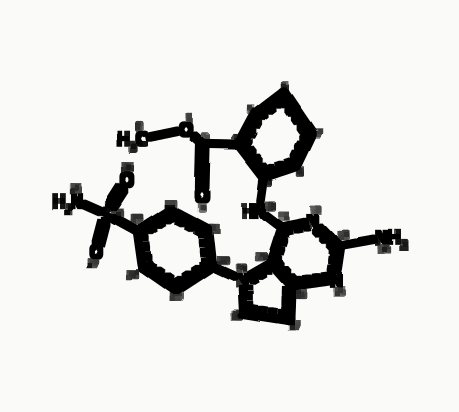 COC(=O)c1ccccc1Nc1nc(N)nc2ccn(-c3ccc(S(N)(=O)=O)cc3)c12